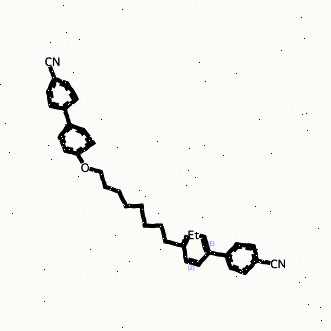 C=C(/C=C\C(=C/CC)c1ccc(C#N)cc1)CCCCCCCCOc1ccc(-c2ccc(C#N)cc2)cc1